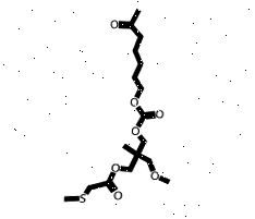 COCC(C)(COC(=O)CSC)COC(=O)OCCCCCC(C)=O